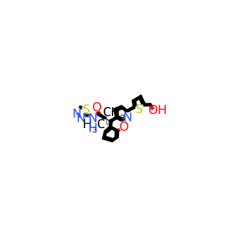 CC(C)(C(=O)Nc1nncs1)[C@H]1c2ccccc2Oc2nc(-c3ccc(CO)s3)ccc21